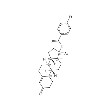 CCc1ccc(C(=O)O[C@]2(C(C)=O)CC[C@H]3[C@@H]4CCC5=CC(=O)CC[C@]5(C)[C@H]4CC[C@@]32C)cc1